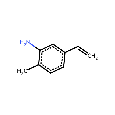 C=Cc1ccc(C)c(N)c1